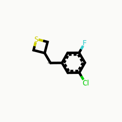 Fc1cc(Cl)cc([CH]C2CSC2)c1